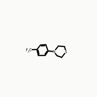 FC(F)(F)c1c[c]c(N2CCSCC2)cc1